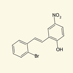 O=[N+]([O-])c1ccc(O)c(C=Cc2ccccc2Br)c1